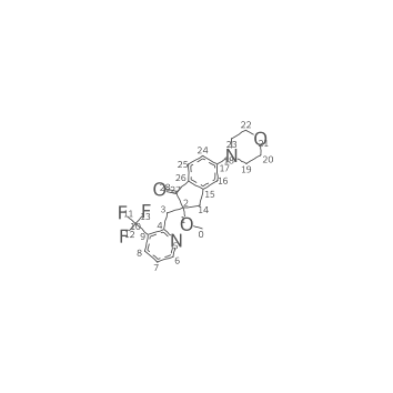 COC1(Cc2ncccc2C(F)(F)F)Cc2cc(N3CCOCC3)ccc2C1=O